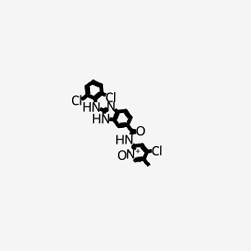 Cc1c[n+]([O-])c(NC(=O)c2ccc3nc(Nc4c(Cl)cccc4Cl)[nH]c3c2)cc1Cl